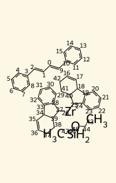 C(C=Cc1ccccc1)=Cc1ccccc1.C1=CC2c3ccccc3[CH]([Zr][CH]3c4ccccc4C4C=CCCC43)C2CC1.CCO[SiH2]C